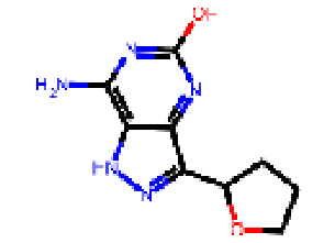 Nc1nc(O)nc2c(C3CCCO3)n[nH]c12